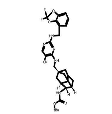 CC(C)(C)OC(=O)N[C@@H]1[C@@H]2CC3C[C@H]1C[C@@](CNc1nc(NCc4cccc5c4OC(F)(F)O5)ncc1C#N)(C3)C2